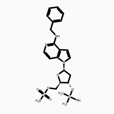 CC(C)(C)[Si](C)(C)O[C@H]1C[C@H](n2ccc3c(NCc4ccccc4)nccc32)O[C@@H]1COS(N)(=O)=O